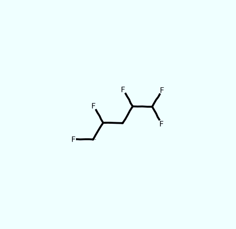 F[CH]C(F)CC(F)C(F)F